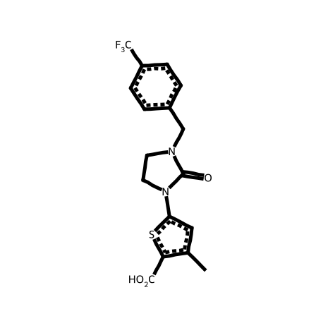 Cc1cc(N2CCN(Cc3ccc(C(F)(F)F)cc3)C2=O)sc1C(=O)O